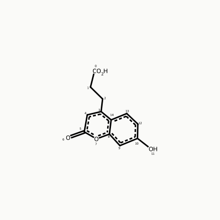 O=C(O)CCc1cc(=O)oc2cc(O)ccc12